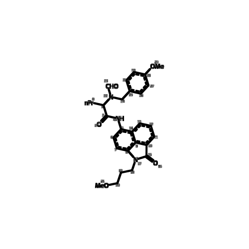 CCCC(C(=O)Nc1ccc2c3c(cccc13)C(=O)N2CCCOC)N(C=O)Cc1ccc(OC)cc1